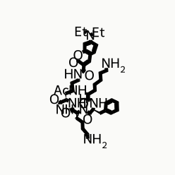 CCN(CC)c1ccc2cc(C(=O)NCCCC[C@H](NC(=O)[C@H](CCCCN)NC(=O)[C@H](Cc3ccccc3)NC(=O)[C@H](CCCCCN)NC(C)=O)C(N)=O)c(=O)oc2c1